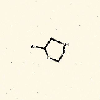 BrC1[CH]NCCO1